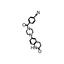 N#Cc1ccc(C(=O)N2CCN(c3ccc4c(c3)CCC(=O)N4)CC2)cc1